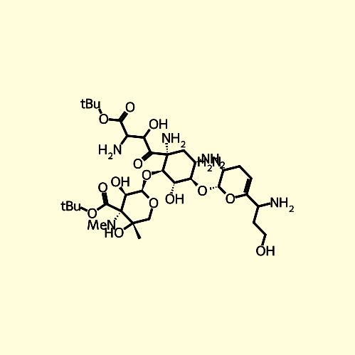 CN[C@]1(C(=O)OC(C)(C)C)[C@@H](O)[C@@H](O[C@@H]2[C@@H](O)[C@H](O[C@H]3OC(C(N)CCO)=CC[C@H]3N)[C@@H](N)C[C@]2(N)C(=O)C(O)C(N)C(=O)OC(C)(C)C)OC[C@]1(C)O